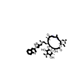 CC[C@H]1OC(=O)C[C@@H](O)[C@H](C)[C@@H](O[C@@H]2O[C@H](C)C(O)C(N(C)C)C2O)[C@@H](CCN(C)Cc2cn(-c3cnc4ccccc4c3)nn2)C[C@@H](C)C(=O)/C=C/C(C)=C/[C@@H]1CN(C)C